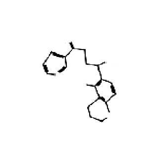 BC(CCC(=C)c1cccnc1)c1ccc2c(c1O)CCCO2